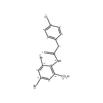 O=C(Cc1ccc(Cl)cc1)Nc1c(Br)cc(Br)cc1C(=O)O